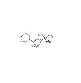 CC(C)(C)[Si](C)(C)OC=C(C(=O)O)C1CCCCC1